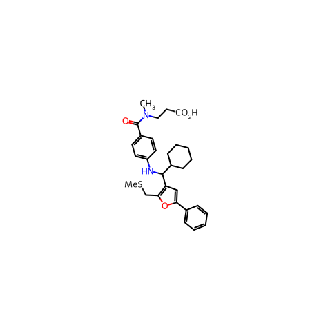 CSCc1oc(-c2ccccc2)cc1C(Nc1ccc(C(=O)N(C)CCC(=O)O)cc1)C1CCCCC1